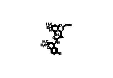 CC[C@]1(C)CC(=O)N([C@H](CCOC)C2C[C@H]2C(=O)N[C@H]2CC(C)(C)Oc3ccc(Cl)cc32)C(=N)N1